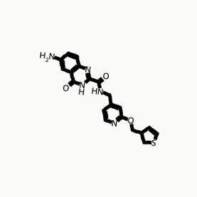 Nc1ccc2nc(C(=O)NCc3ccnc(OCC4C=CSC4)c3)[nH]c(=O)c2c1